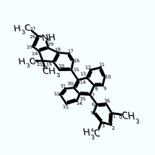 Cc1cc(C)cc(-c2c3ccccc3c(-c3ccc4c(c3)C(C)(C)c3cc(C)[nH]c3-4)c3ccccc23)c1